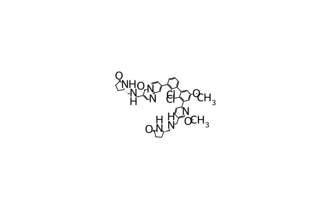 COc1cc(-c2ccc(CNC[C@H]3CCC(=O)N3)c(OC)n2)c(Cl)c(-c2cccc(-c3ccn4c(=O)c(CNC[C@@H]5CCC(=O)N5)cnc4c3)c2Cl)c1